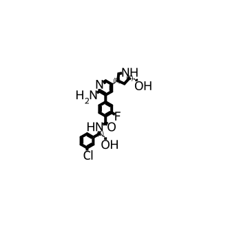 Nc1ncc([C@@H]2CN[C@H](CO)C2)cc1-c1ccc(C(=O)N[C@H](CO)c2cccc(Cl)c2)c(F)c1